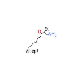 CCCCCCCCCCCCCC(=O)C(CC)CN